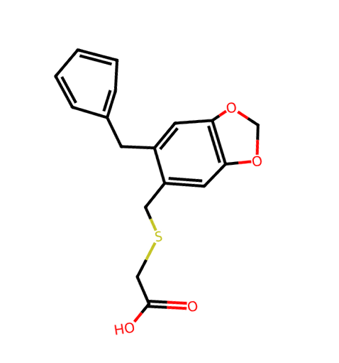 O=C(O)CSCc1cc2c(cc1Cc1ccccc1)OCO2